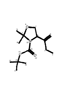 C=C(CC)C1COC(C)(C)N1C(=O)OC(C)(C)C